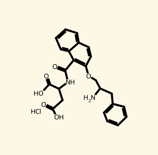 Cl.NC(COc1ccc2ccccc2c1C(=O)NC(CC(=O)O)C(=O)O)Cc1ccccc1